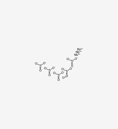 [Ba+2].[Nb+5].[Nb+5].[O-2].[O]=[Ti]([O-])[O-].[O]=[Ti]([O-])[O-].[O]=[Ti]([O-])[O-].[O]=[Ti]([O-])[O-].[O]=[Ti]([O-])[O-]